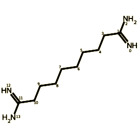 N=C(N)CCCCCCCCC(=N)N